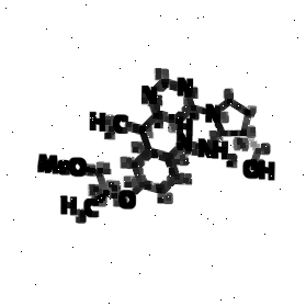 C=C(c1cc(N2CC[C@H](CO)C2)ncn1)c1cc(O[C@@H](C)COC)ccc1NN